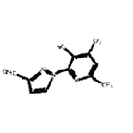 N#Cc1c(C(F)(F)F)cc(C(F)(F)F)nc1-n1ccc(C=O)n1